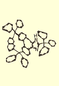 c1ccc(C(c2ccccc2)(c2ccccc2)c2ccc3c(c2)c2cc(C(c4ccccc4)(c4ccccc4)c4ccccc4)ccc2c2[nH]c(C(c4ccccc4)(c4ccccc4)c4ccccc4)nc32)cc1